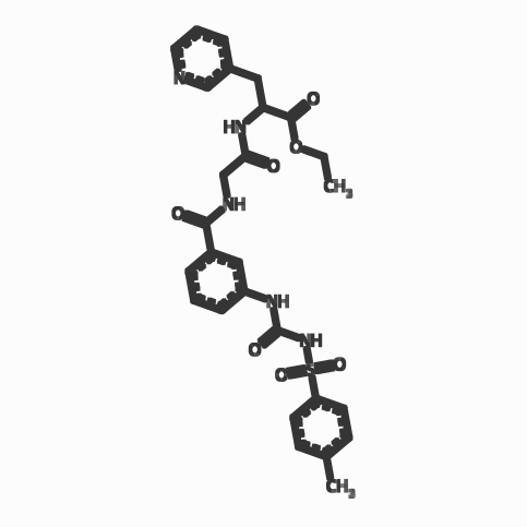 CCOC(=O)C(Cc1cccnc1)NC(=O)CNC(=O)c1cccc(NC(=O)NS(=O)(=O)c2ccc(C)cc2)c1